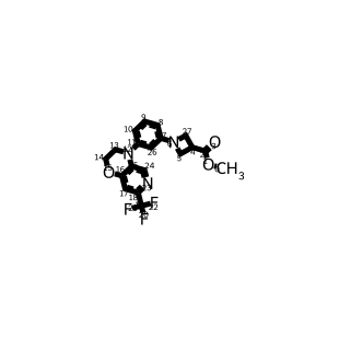 COC(=O)C1CN(c2cccc(N3CCOc4cc(C(F)(F)F)ncc43)c2)C1